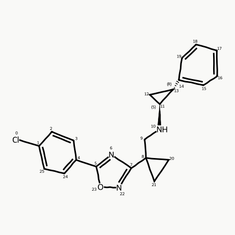 Clc1ccc(-c2nc(C3(CN[C@H]4C[C@@H]4c4ccccc4)CC3)no2)cc1